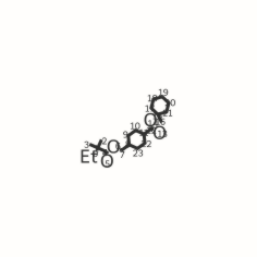 CCC(C)(C)C(=O)OCC1CCC(C(=O)OC2(C)CCCCC2)CC1